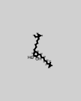 CCC1(CCCCCCc2cc(O)c(O)c(CCCCCCC3(C)CC3)c2)CC1